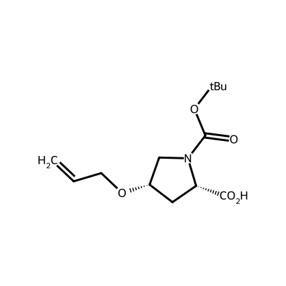 C=CCO[C@H]1C[C@@H](C(=O)O)N(C(=O)OC(C)(C)C)C1